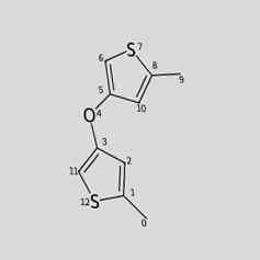 Cc1cc(Oc2csc(C)c2)cs1